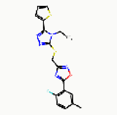 Cc1ccc(F)c(-c2nc(CSc3nnc(-c4cccs4)n3CC(F)(F)F)no2)c1